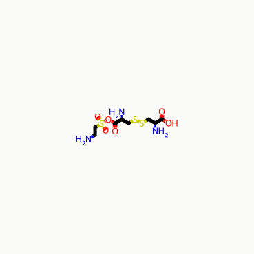 NCCS(=O)(=O)OC(=O)[C@@H](N)CSSC[C@H](N)C(=O)O